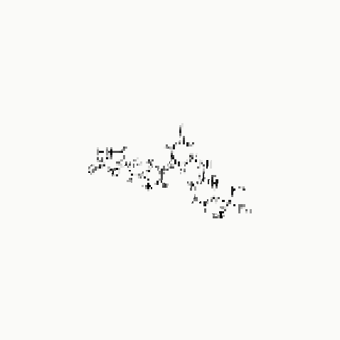 Cc1cc(Nc2nccc(C(F)(F)F)n2)cc(-c2cnn(C[C@]3(C)CNC(=O)O3)c2)c1